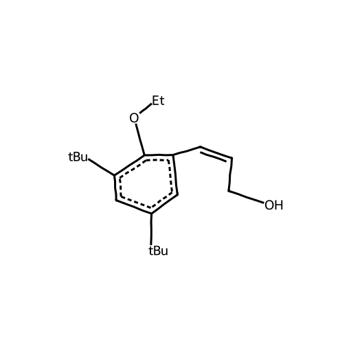 CCOc1c(/C=C\CO)cc(C(C)(C)C)cc1C(C)(C)C